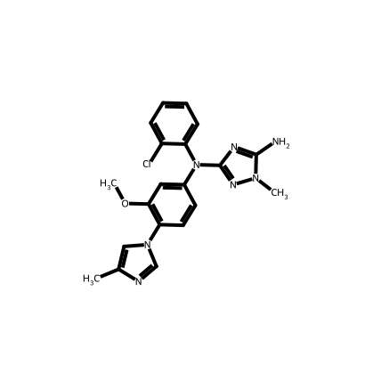 COc1cc(N(c2nc(N)n(C)n2)c2ccccc2Cl)ccc1-n1cnc(C)c1